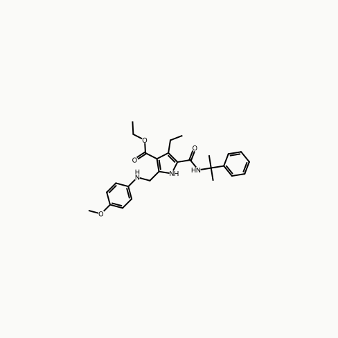 CCOC(=O)c1c(CNc2ccc(OC)cc2)[nH]c(C(=O)NC(C)(C)c2ccccc2)c1CC